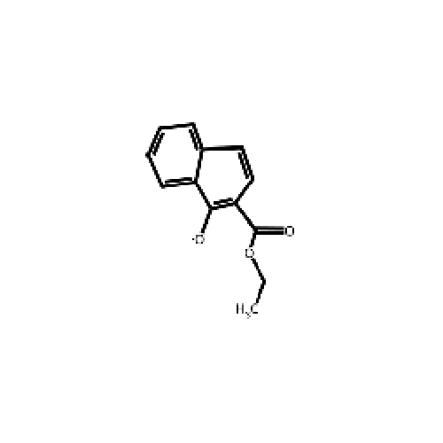 CCOC(=O)c1ccc2ccccc2c1[O]